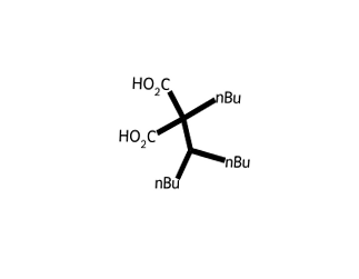 CCCCC(CCCC)C(CCCC)(C(=O)O)C(=O)O